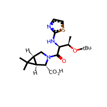 C[C@@H](OC(C)(C)C)[C@H](Nc1nccs1)C(=O)N1C[C@H]2[C@@H]([C@H]1C(=O)O)C2(C)C